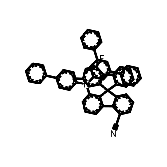 Cc1cc(F)c2c(c1)C1(c3ccccc3-2)c2cccc(C#N)c2-c2cccc(N(c3ccc(-c4ccccc4)cc3)c3cc(-c4ccccc4)cc(-c4ccccc4)c3)c21